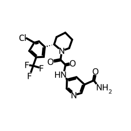 NC(=O)c1cncc(NC(=O)C(=O)N2CCCC[C@H]2c2cc(Cl)cc(C(F)(F)F)c2)c1